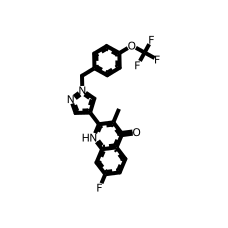 Cc1c(-c2cnn(Cc3ccc(OC(F)(F)F)cc3)c2)[nH]c2cc(F)ccc2c1=O